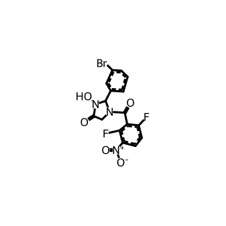 O=C1CN(C(=O)c2c(F)ccc([N+](=O)[O-])c2F)C(c2cccc(Br)c2)N1O